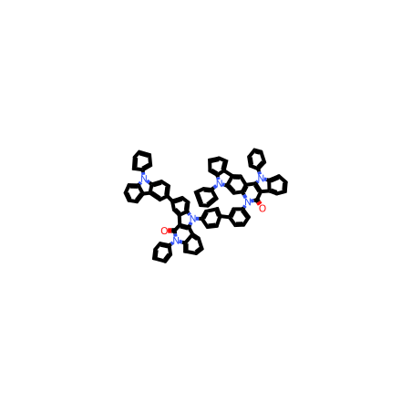 O=c1c2c3cc(-c4ccc5c(c4)c4ccccc4n5-c4ccccc4)ccc3n(-c3ccc(-c4cccc(-n5c(=O)c6c7ccccc7n(-c7ccccc7)c6c6cc7c8ccccc8n(-c8ccccc8)c7cc65)c4)cc3)c2c2ccccc2n1-c1ccccc1